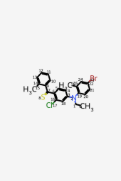 CCN(c1ccc(C(=S)c2ccccc2C)c(Cl)c1)c1ccc(Br)cc1C